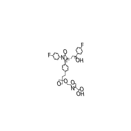 O=C(O)c1coc(COC2(CCc3ccc([C@@H]4[C@@H](CC[C@H](O)c5ccc(F)cc5)C(=O)N4c4ccc(F)cc4)cc3)COC2)n1